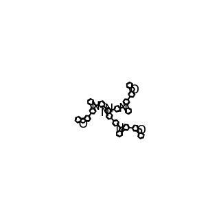 c1cc(-c2nc(-c3ccc(-n4c5ccccc5c5cc(-c6ccc7oc8ccccc8c7c6)ccc54)cc3)c3cc(-c4ccc(-n5c6ccccc6c6cc(-c7ccc8oc9ccccc9c8c7)ccc65)cc4)ccc3n2)cc(-n2c3ccccc3c3cc(-c4ccc5oc6ccccc6c5c4)ccc32)c1